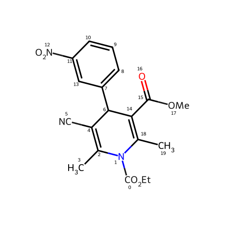 CCOC(=O)N1C(C)=C(C#N)C(c2cccc([N+](=O)[O-])c2)C(C(=O)OC)=C1C